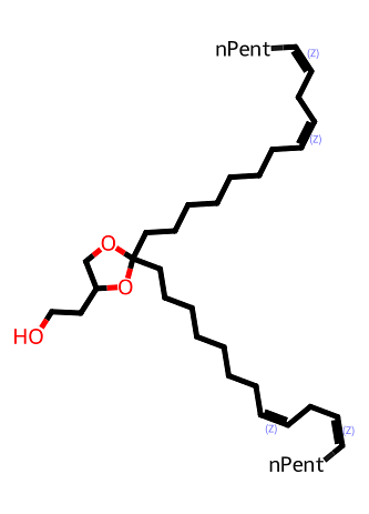 CCCCC/C=C\C/C=C\CCCCCCCC1(CCCCCCC/C=C\C/C=C\CCCCC)OCC(CCO)O1